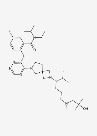 CCN(C(=O)c1cc(F)ccc1Oc1nncnc1N1CCC2(C1)CN(C(CCCN(C)CC(C)(C)O)C(C)C)C2)C(C)C